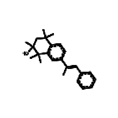 CC(=Cc1ccccc1)c1ccc2c(c1)C(C)(C)C(C)(O)CC2(C)C